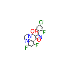 OC(c1c(-c2ccc(Cl)cc2F)noc1-c1ccc(F)cc1F)N1C=NC=CC1